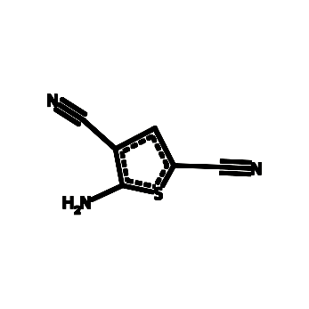 N#Cc1cc(C#N)c(N)s1